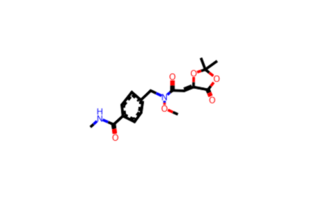 CNC(=O)c1ccc(CN(OC)C(=O)C=C2OC(C)(C)OC2=O)cc1